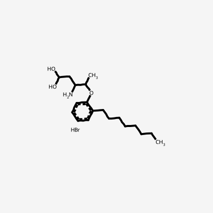 Br.CCCCCCCCc1ccccc1OC(C)C(N)CC(O)O